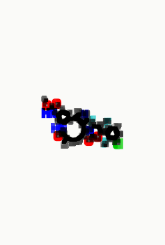 COC(=O)Nc1ccc2c(c1)NC(=O)C(C)CCC[C@H](N1CC[C@H](c3c(F)ccc(Cl)c3F)OC1=O)c1cc-2cnc1F